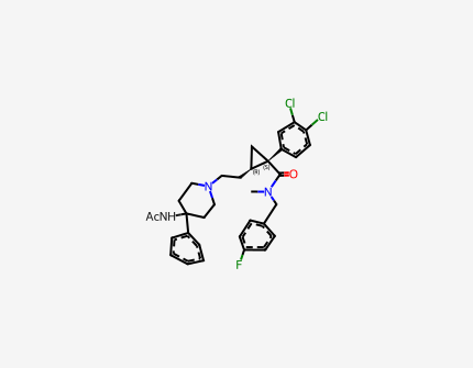 CC(=O)NC1(c2ccccc2)CCN(CC[C@H]2C[C@@]2(C(=O)N(C)Cc2ccc(F)cc2)c2ccc(Cl)c(Cl)c2)CC1